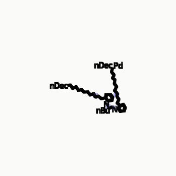 CCCCCCCCCCCCCCCCCC/C=C/CCc1ccccc1/N=C(\C=N\c1ccccc1CC/C=C/CCCCCCCCCCCCCCCCCC)CCCC.[Pd]